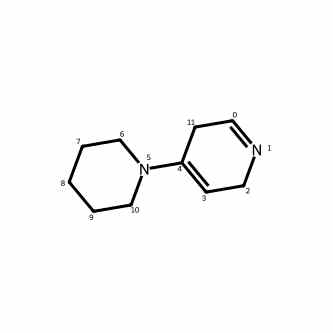 C1=NCC=C(N2CCCCC2)C1